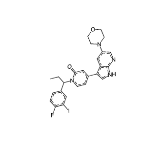 CCC(c1ccc(F)c(I)c1)n1ccc(-c2c[nH]c3ncc(N4CCOCC4)cc23)cc1=O